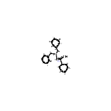 C/C(=N\N(Cc1ccccc1)Cc1ccccc1)c1ccccc1